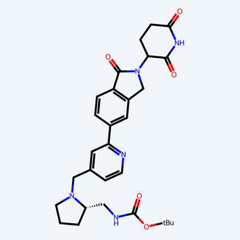 CC(C)(C)OC(=O)NC[C@@H]1CCCN1Cc1ccnc(-c2ccc3c(c2)CN(C2CCC(=O)NC2=O)C3=O)c1